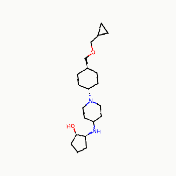 O[C@@H]1CCC[C@@H]1NC1CCN([C@H]2CC[C@H](COCC3CC3)CC2)CC1